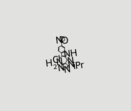 CC(C)n1nc(-c2[nH]c3cc(-c4ncco4)ccc3c2Cl)c2c(N)ncnc21